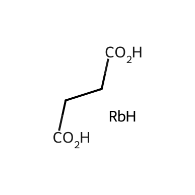 O=C(O)CCC(=O)O.[RbH]